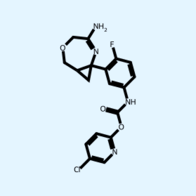 NC1=NC2(c3cc(NC(=O)Oc4ccc(Cl)cn4)ccc3F)CC2COC1